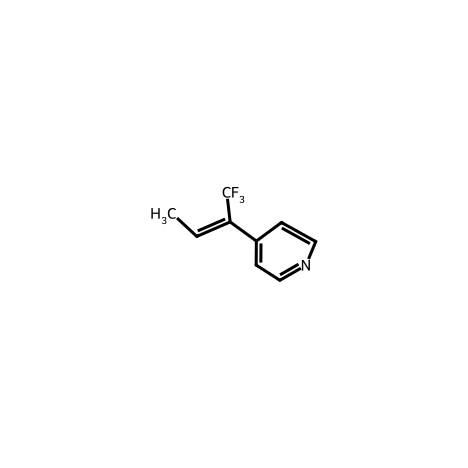 CC=C(c1ccncc1)C(F)(F)F